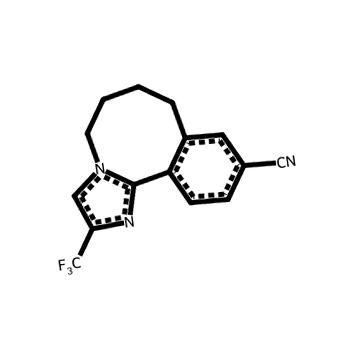 N#Cc1ccc2c(c1)CCCCn1cc(C(F)(F)F)nc1-2